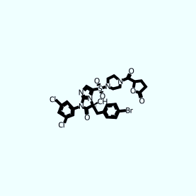 C[C@@]1(Cc2ccc(Br)cc2)C(=O)N(c2cc(Cl)cc(Cl)c2)c2ncc(S(=O)(=O)N3CCN(C(=O)C4CCC(=O)O4)CC3)n21